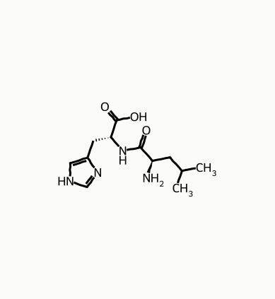 CC(C)C[C@@H](N)C(=O)N[C@H](Cc1c[nH]cn1)C(=O)O